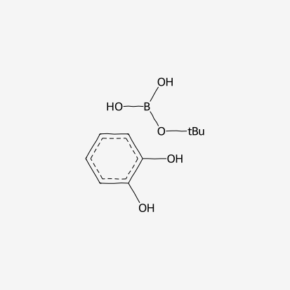 CC(C)(C)OB(O)O.Oc1ccccc1O